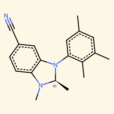 Cc1cc(C)c(C)c(N2c3cc(C#N)ccc3N(C)[C@@H]2C)c1